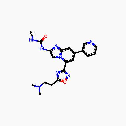 CCNC(=O)Nc1cn2c(-c3noc(CCN(C)C)n3)cc(-c3cccnc3)cc2n1